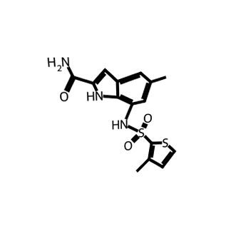 Cc1cc(NS(=O)(=O)c2sccc2C)c2[nH]c(C(N)=O)cc2c1